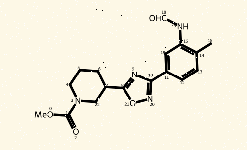 COC(=O)N1CCCC(c2nc(-c3ccc(C)c(NC=O)c3)no2)C1